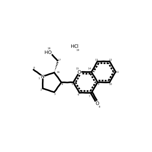 CN1CCC(c2cc(=O)c3ccccc3o2)[C@H]1CO.Cl